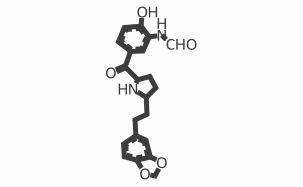 O=CNc1cc(C(=O)C2CCC(CCc3ccc4c(c3)OCO4)N2)ccc1O